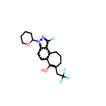 OC1=C(CC(F)(F)F)CCCc2c1ccc1c2c(F)nn1C1CCCCO1